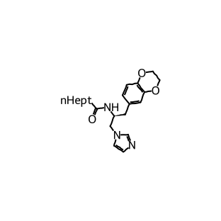 CCCCCCCC(=O)N[C@@H](Cc1ccc2c(c1)OCCO2)Cn1ccnc1